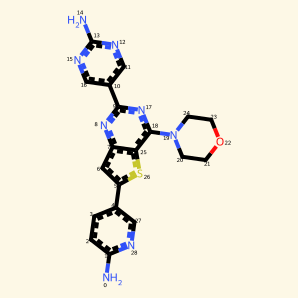 Nc1ccc(-c2cc3nc(-c4cnc(N)nc4)nc(N4CCOCC4)c3s2)cn1